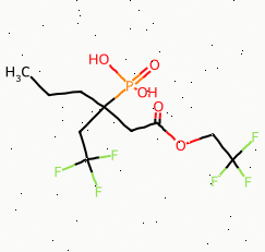 CCCC(CC(=O)OCC(F)(F)F)(CC(F)(F)F)P(=O)(O)O